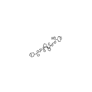 O=C(OCOC(=O)[C@H]1CCCN1N1CCC[C@@H]1C(=O)OCOC(O)C1CCOCC1)C1CCOCC1